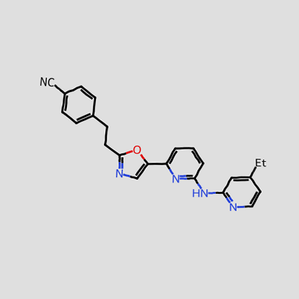 CCc1ccnc(Nc2cccc(-c3cnc(CCc4ccc(C#N)cc4)o3)n2)c1